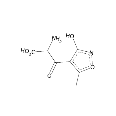 Cc1onc(O)c1C(=O)C(N)C(=O)O